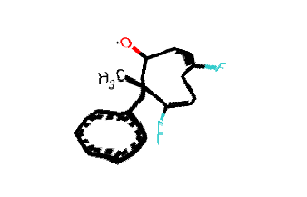 CC1(c2ccccc2)C(F)=CC(F)=CC1[O]